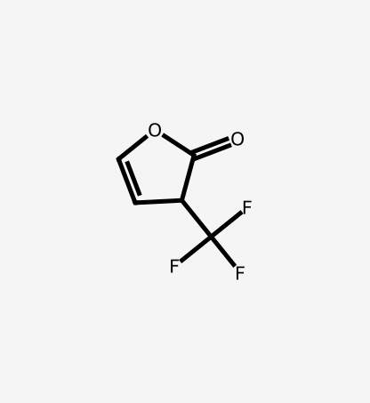 O=C1OC=CC1C(F)(F)F